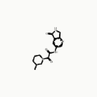 CC1CCCN(C(=O)C(=O)Nc2cnc3c(c2)C(=O)NC3)C1